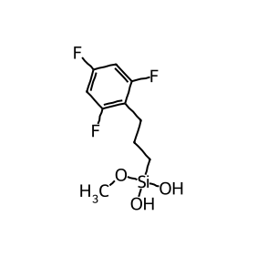 CO[Si](O)(O)CCCc1c(F)cc(F)cc1F